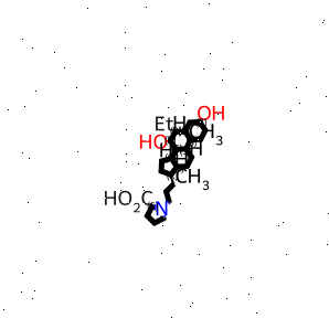 CC[C@H]1[C@@H](O)[C@@H]2[C@H](CC[C@]3(C)[C@@H](CCCN4CCC[C@H]4C(=O)O)CC[C@@H]23)[C@@]2(C)CC[C@@H](O)C[C@@H]12